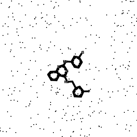 Fc1cccc(CNc2nc(Nc3cccc(Cl)c3)nc3ccccc23)c1